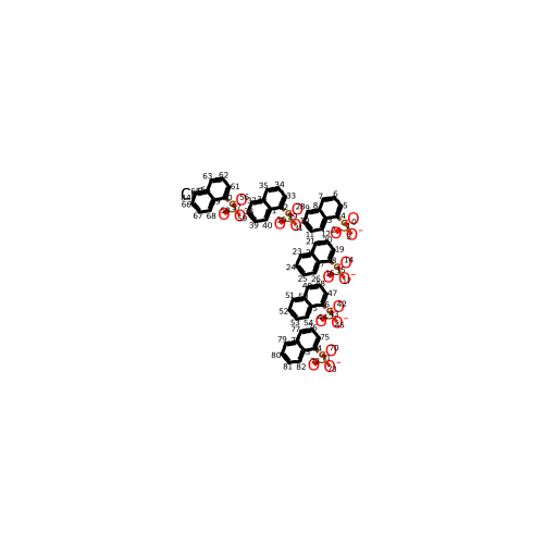 O=S(=O)([O-])c1cccc2ccccc12.O=S(=O)([O-])c1cccc2ccccc12.O=S(=O)([O-])c1cccc2ccccc12.O=S(=O)([O-])c1cccc2ccccc12.O=S(=O)([O-])c1cccc2ccccc12.O=S(=O)([O-])c1cccc2ccccc12.[Cr+6]